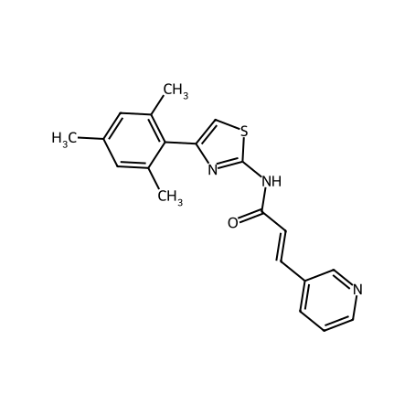 Cc1cc(C)c(-c2csc(NC(=O)C=Cc3cccnc3)n2)c(C)c1